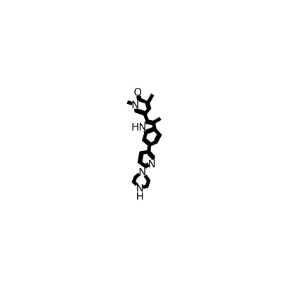 Cc1cc(-c2[nH]c3cc(-c4ccc(N5CCNCC5)nc4)ccc3c2C)cn(C)c1=O